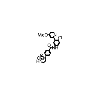 COc1ccnc(-c2cc(NC(=O)c3ccc(N4CCNS4(=O)=O)cc3)ccc2Cl)c1